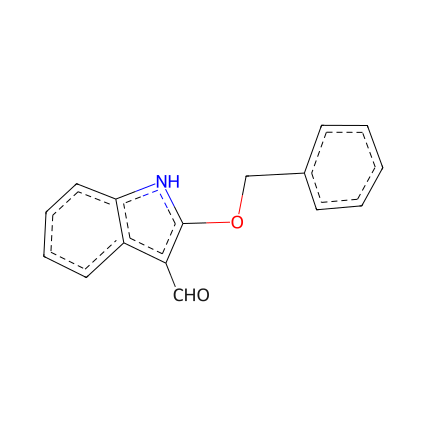 O=Cc1c(OCc2ccccc2)[nH]c2ccccc12